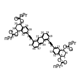 CCCC(=O)OC1CCC(OC(=O)CCC)c2cc(C#Cc3cccc4cc5c(C#Cc6ccc7c(c6)C(OC(=O)CCC)CCC7OC(=O)CCC)cccc5cc34)ccc21